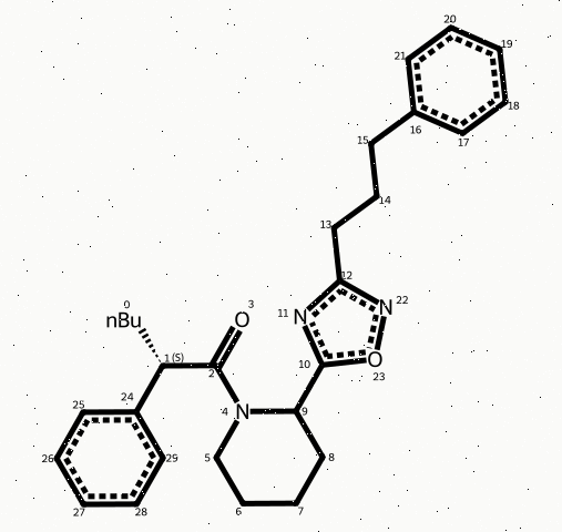 CCCC[C@H](C(=O)N1CCCCC1c1nc(CCCc2ccccc2)no1)c1ccccc1